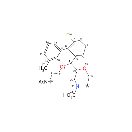 CC(=O)NCCOC(c1cccc(F)c1-c1cccc(C)c1)C1CN(C(=O)O)CCO1